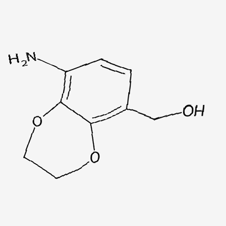 Nc1ccc(CO)c2c1OCCO2